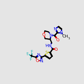 Cn1ccnc1C(=O)N1CCOCC1CNC(=O)c1ccc(-c2noc(C(F)(F)F)n2)s1